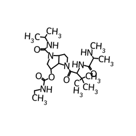 CCNC(=O)OC1CN(C(=O)NC(C)C)C2CCN(C(=O)C(NC(=O)C(C)NC)C(C)(C)C)C12